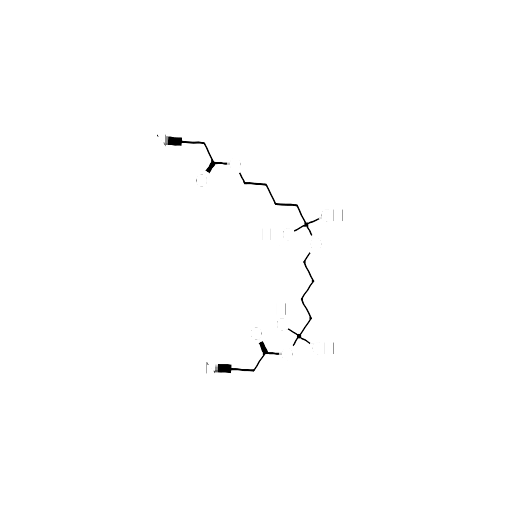 CC(C)(CCCCOC(=O)CC#N)OCCCCC(C)(C)OC(=O)CC#N